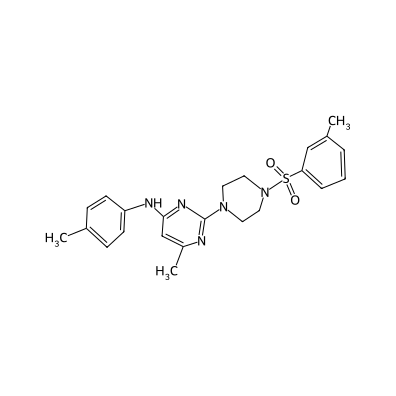 Cc1ccc(Nc2cc(C)nc(N3CCN(S(=O)(=O)c4cccc(C)c4)CC3)n2)cc1